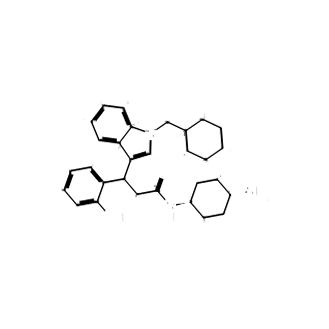 Cc1ccccc1C(CC(=O)N[C@H]1CC[C@H](N)CC1)c1cn(CC2CCCCC2)c2ccccc12